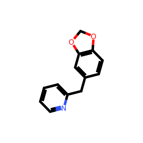 c1ccc(Cc2ccc3c(c2)OCO3)nc1